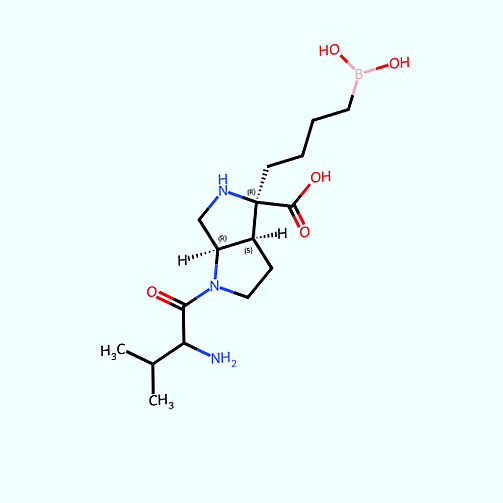 CC(C)C(N)C(=O)N1CC[C@H]2[C@@H]1CN[C@@]2(CCCCB(O)O)C(=O)O